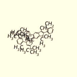 C=Cc1ccccc1C1=C(C)c2cc(-c3ccc(C(C)(C)C)c[n+]3-[n+]3ccc(C(C)(C)C)cc3-c3cc(C(C)(C)C)ccc3C)c(C)cc2C1(C)C